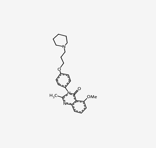 COc1cccc2nc(C)n(-c3ccc(OCCCN4CCCCC4)cc3)c(=O)c12